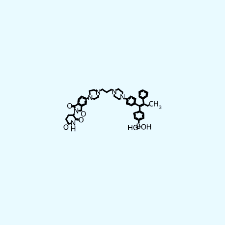 CC/C(=C(\c1ccc(B(O)O)cc1)c1ccc(N2CCN(CCCN3CCN(c4ccc5c(c4)C(=O)N(C4CCC(=O)NC4=O)C5=O)CC3)CC2)cc1)c1ccccc1